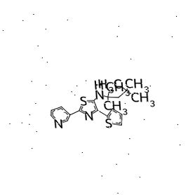 CC(C)(C)CC(C)(C)Nc1sc(-c2cccnc2)nc1-c1cccs1